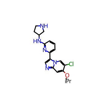 CC(C)Oc1cc2ncc(-c3cccc(NC4CCNC4)n3)n2cc1Cl